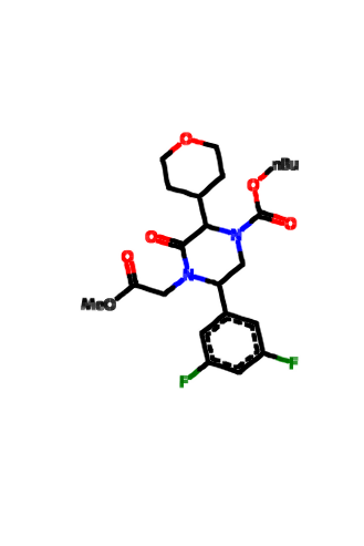 CCCCOC(=O)N1CC(c2cc(F)cc(F)c2)N(CC(=O)OC)C(=O)C1C1CCOCC1